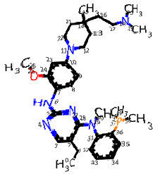 CCc1cnc(Nc2ccc(N3CCC(C)(CCN(C)C)CC3)cc2OC)nc1N(C)c1ccccc1P(C)C